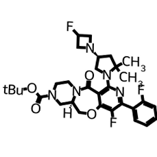 CC(C)(C)OC(=O)N1CCN2C(=O)c3c(N4C[C@@H](N5CC(F)C5)CC4(C)C)nc(-c4ccccc4F)c(F)c3OC[C@H]2C1